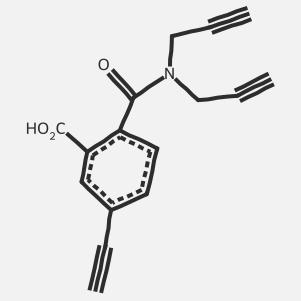 C#CCN(CC#C)C(=O)c1ccc(C#C)cc1C(=O)O